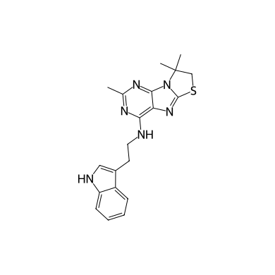 Cc1nc(NCCc2c[nH]c3ccccc23)c2nc3n(c2n1)C(C)(C)CS3